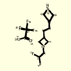 FC(F)CN1CC(CCC2CNC2)C1.O=C(O)C(F)(F)F